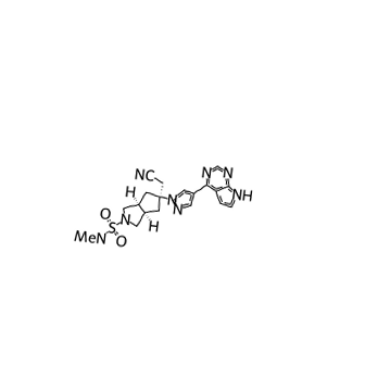 CNS(=O)(=O)N1C[C@@H]2C[C@](CC#N)(n3cc(-c4ncnc5[nH]ccc45)cn3)C[C@@H]2C1